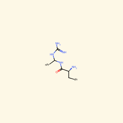 CCCC(NC(=N)N)NC(=O)[C@@H](N)CC(C)C